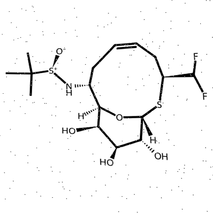 CC(C)(C)[S@@+]([O-])N[C@@H]1CC=CC[C@@H](C(F)F)S[C@H]2O[C@H]1[C@H](O)[C@H](O)[C@H]2O